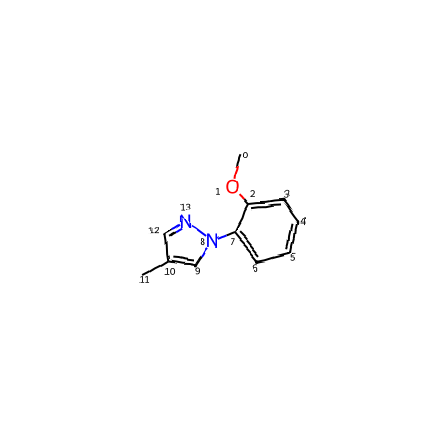 COc1ccccc1-n1cc(C)cn1